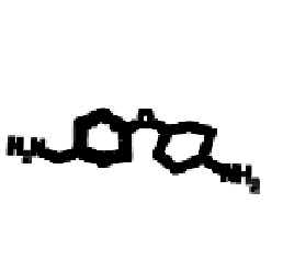 NCc1ccc(OC2CCC(N)CC2)cc1